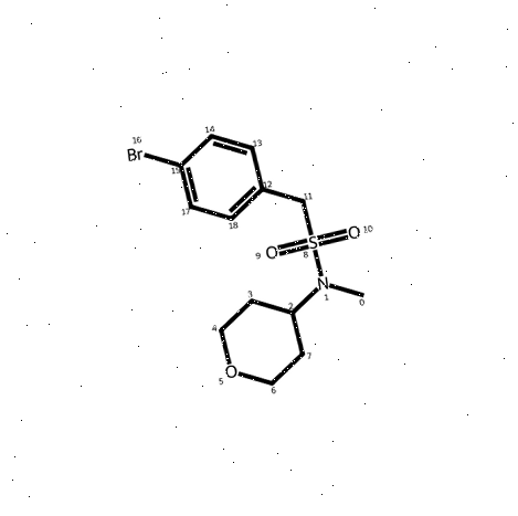 CN(C1CCOCC1)S(=O)(=O)Cc1ccc(Br)cc1